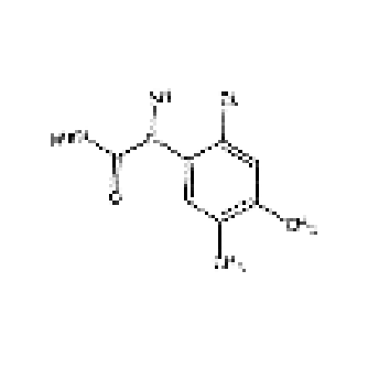 CCc1cc(C)c(C)cc1N(S)C(=O)NC